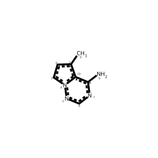 Cc1ccn2ncnc(N)c12